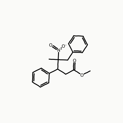 COC(=O)CC(c1ccccc1)C(C)(Cc1ccccc1)[N+](=O)[O-]